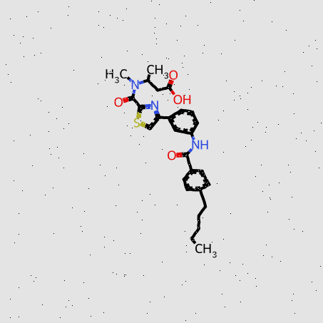 CCCCCc1ccc(C(=O)Nc2cccc(-c3csc(C(=O)N(C)C(C)CC(=O)O)n3)c2)cc1